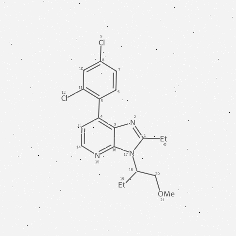 CCc1nc2c(-c3ccc(Cl)cc3Cl)ccnc2n1C(CC)COC